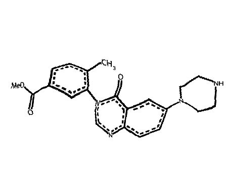 COC(=O)c1ccc(C)c(-n2cnc3ccc(N4CCNCC4)cc3c2=O)c1